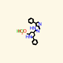 CC1CC(c2ncc3ncc(-c4ccccc4)c-3[nH]2)CC(c2ccccc2)N1.Cl.O